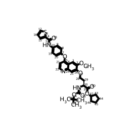 COc1cc2c(Oc3ccc(NC(=O)c4cccs4)cc3)ccnc2cc1OCC[C@H](NC(=O)OC(C)(C)C)C(=O)OC1CCCC1